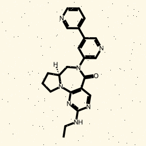 CCNc1ncc2c(n1)N1CCC[C@H]1CN(c1cncc(-c3cccnc3)c1)C2=O